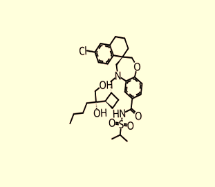 CCCC[C@@](O)(CO)[C@@H]1CC[C@H]1CN1C[C@@]2(CCCc3cc(Cl)ccc32)COc2ccc(C(=O)NS(=O)(=O)C(C)C)cc21